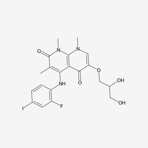 Cc1c(Nc2ccc(I)cc2F)c2c(=O)c(OCC(O)CO)cn(C)c2n(C)c1=O